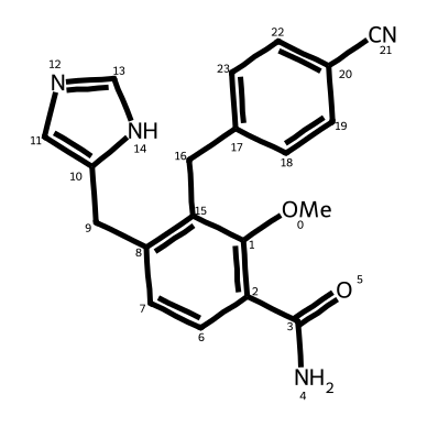 COc1c(C(N)=O)ccc(Cc2cnc[nH]2)c1Cc1ccc(C#N)cc1